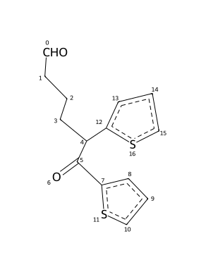 O=CCCCC(C(=O)c1cccs1)c1cccs1